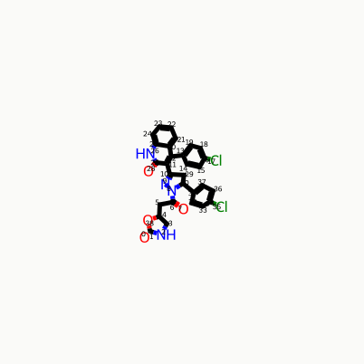 O=C1NCC(CC(=O)N2N=C(c3c(-c4ccc(Cl)cc4)c4ccccc4[nH]c3=O)CC2c2ccc(Cl)cc2)O1